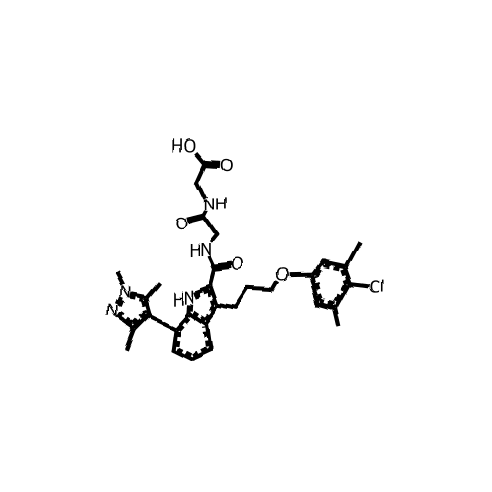 Cc1cc(OCCCc2c(C(=O)NCC(=O)NCC(=O)O)[nH]c3c(-c4c(C)nn(C)c4C)cccc23)cc(C)c1Cl